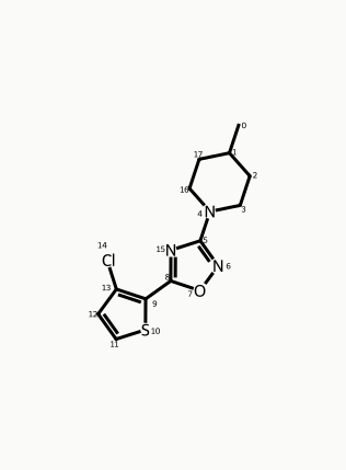 CC1CCN(c2noc(-c3sccc3Cl)n2)CC1